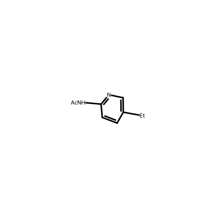 CCc1ccc(NC(C)=O)nc1